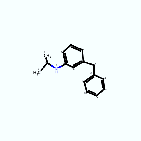 CC(C)Nc1cccc(Cc2ccccc2)c1